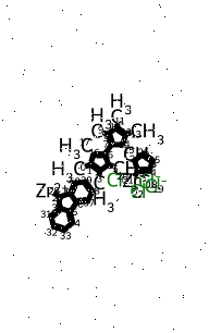 CC1=C(C)C(C)C(C2=C(C)C(C)=C(C)C2C)=C1C.[Cl-].[Cl-].[Cl][Zr]([Cl])[C]1=CC=CC1.[Zr+2][CH]1c2ccccc2-c2ccccc21